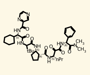 CCC[C@H](NC(=O)[C@@H]1CCC[C@@H]1NC(=O)C(NC(=O)[C@@H](NC(=O)c1cnccn1)C1CCCCC1)C(C)(C)C)C(=O)C(=O)N[C@@H](C(=O)N(C)C)c1ccccc1